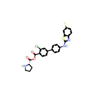 O=C(OC(=O)[C@@H]1CCCN1)c1ccc(-c2ccc(Nc3nc4ccc(F)cc4s3)cc2)cc1Cl